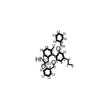 CCCc1cc(OCc2ccccc2)c(-c2c(C)ccc3c2CC(=O)N3)c(OCc2ccccc2)c1